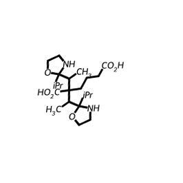 CC(C)C1(C(C)C(CCCC(=O)O)(C(=O)O)C(C)C2(C(C)C)NCCO2)NCCO1